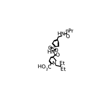 CCCC(=O)NCCc1ccc(S(=O)(=O)NC(=O)C2=CC=C(C(=O)O)N(CC(CC)CC)C2)cc1